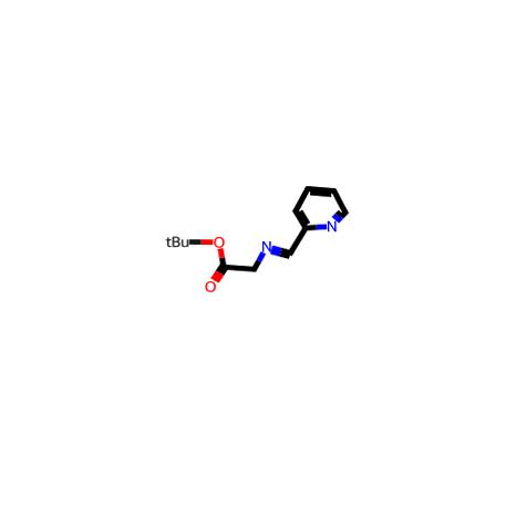 CC(C)(C)OC(=O)CN=Cc1ccccn1